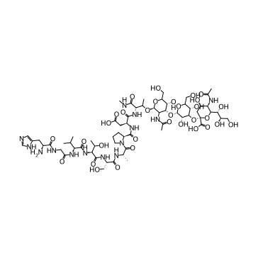 CNC(=O)[C@@H](NC(=O)[C@H](CC(=O)O)NC(=O)[C@@H]1CCCN1C(=O)[C@H](C)NC(=O)[C@H](CO)NC(=O)[C@@H](NC(=O)[C@@H](NC(=O)CNC(=O)[C@@H](N)Cc1cnc[nH]1)C(C)C)C(C)O)C(C)O[C@H]1OC(CO)[C@H](O)[C@H](O[C@@H]2OC(CO)[C@H](O)C(O[C@]3(C(=O)O)C[C@@H](O)[C@@H](NC(C)=O)C([C@H](O)[C@H](O)CO)O3)[C@@H]2O)C1NC(C)=O